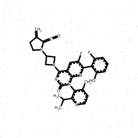 C=C1CCN(C2CN(c3nc(=O)n(-c4c(C)ccnc4C(C)C)c4nc(-c5c(O)cccc5F)c(F)cc34)C2)C1=C=O